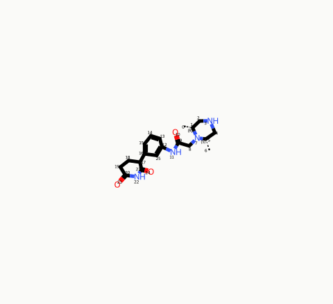 C[C@@H]1CNC[C@H](C)N1CC(=O)Nc1cccc(C2CCC(=O)NC2=O)c1